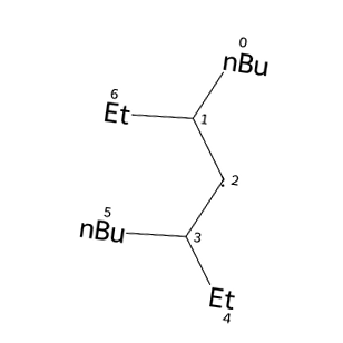 CCCCC([CH]C(CC)CCCC)CC